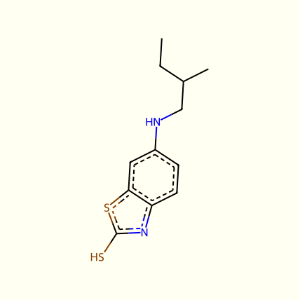 CCC(C)CNc1ccc2nc(S)sc2c1